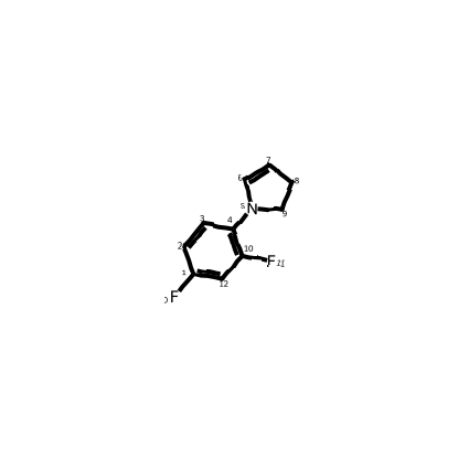 Fc1ccc(N2C=CCC2)c(F)c1